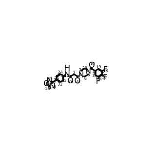 O=C(CC(=O)N1CCN(C(=O)c2cc(F)c(F)c(F)c2)CC1)Nc1ccc(-c2ncon2)cc1